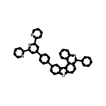 c1ccc(-c2nc3ccccc3c3c2ccc2oc4ccc(-c5ccc(-c6cc(-c7ccccn7)nc(-c7ccccn7)c6)cc5)cc4c23)cc1